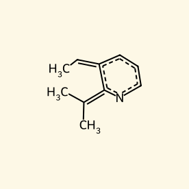 C/C=c1/cccnc1=C(C)C